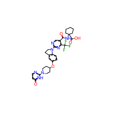 O=C(NC1(C(=O)O)CCCCC1)c1cnc(N2CCc3cc(OC4CCN(c5nccc(=O)[nH]5)CC4)ccc32)nc1C(F)(F)F